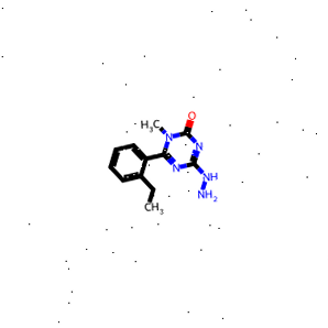 CCc1ccccc1-c1nc(NN)nc(=O)n1C